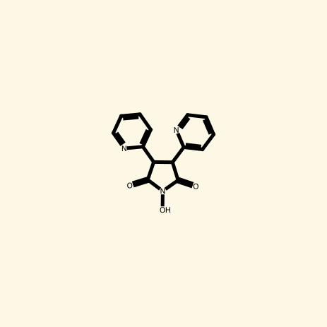 O=C1C(c2ccccn2)C(c2ccccn2)C(=O)N1O